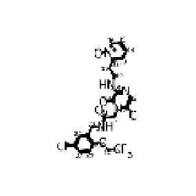 O=C(Cn1c(Cl)cnc(NCCc2cccc[n+]2[O-])c1=O)NCc1cc(Cl)ccc1OCC(F)(F)F